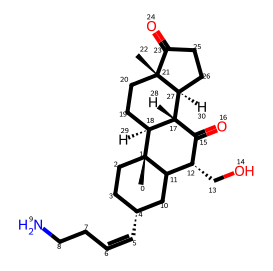 C[C@]12CC[C@@H](/C=C\CCN)CC1[C@@H](CO)C(=O)[C@@H]1[C@@H]2CC[C@]2(C)C(=O)CC[C@@H]12